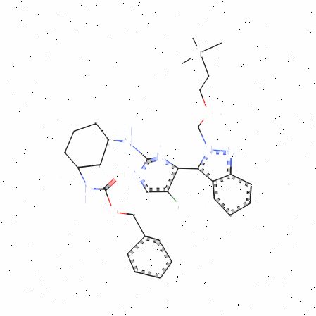 C[C@]1(NC(=O)OCc2ccccc2)CCC[C@@H](Nc2ncc(Cl)c(-c3c4ccccc4nn3COCC[Si](C)(C)C)n2)C1